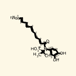 CCCCCCCCCC=CC=CC=CC=CC=CC(=O)N(c1ccc(O)c(O)c1)C(C)(C)C(=O)O